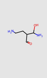 NCCC(C=O)C(N)O